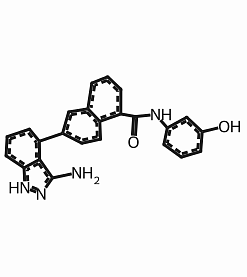 Nc1n[nH]c2cccc(-c3ccc4c(C(=O)Nc5cccc(O)c5)cccc4c3)c12